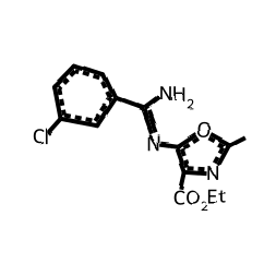 CCOC(=O)c1nc(C)oc1/N=C(\N)c1cccc(Cl)c1